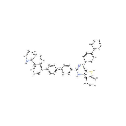 c1ccc(-c2ccc(-c3nc(-c4ccc(-c5ccc(-c6cccc7c6ccc6cccnc67)cc5)cc4)nc4c3sc3ccccc34)cc2)cc1